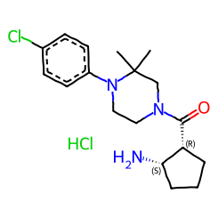 CC1(C)CN(C(=O)[C@@H]2CCC[C@@H]2N)CCN1c1ccc(Cl)cc1.Cl